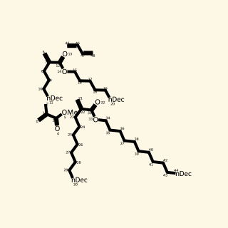 C=C(C)C(=O)OC.C=C(CCCCCCCCCCCCC)C(=O)OCCCCCCCCCCCCCCC.C=C(CCCCCCCCCCCCCCCCC)C(=O)OCCCCCCCCCCCCCCCCCCCC.C=CC=C